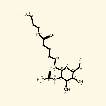 CCCCNC(=O)CCCCOC1OC(CO)C(O)C(O)C1NC(C)=O